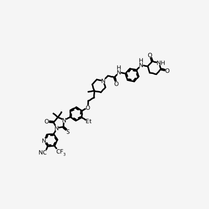 CCc1cc(N2C(=S)N(c3cnc(C#N)c(C(F)(F)F)c3)C(=O)C2(C)C)ccc1OCCC1(C)CCN(CC(=O)Nc2cccc(NC3CCC(=O)NC3=O)c2)CC1